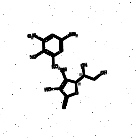 O=C1O[C@H]([C@@H](O)CO)C(O)=C1O.O=[N+]([O-])c1cc([N+](=O)[O-])c(O)c([N+](=O)[O-])c1